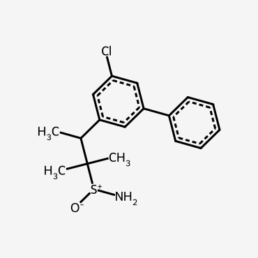 CC(c1cc(Cl)cc(-c2ccccc2)c1)C(C)(C)[S+](N)[O-]